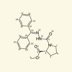 COC(=O)[C@@H]1CCCN1C(=O)NN=C(c1ccccc1)c1ccccc1